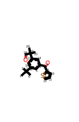 CC(C)(C)c1cc(C(=O)c2cccs2)cc2c1OCC2(C)C